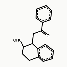 O=CC1CCc2ccccc2C1CC(=O)c1ccccc1